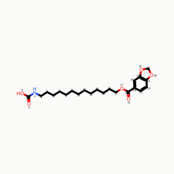 O=C(O)NCCCCCCCCCCCCCOC(=O)c1ccc2c(c1)OCO2